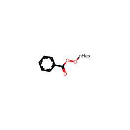 CCCCCCOOC(=O)c1ccccc1